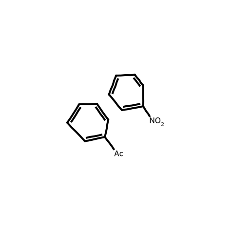 CC(=O)c1ccccc1.O=[N+]([O-])c1ccccc1